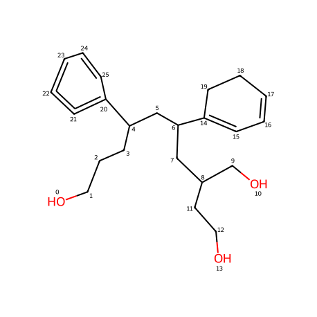 OCCCC(CC(CC(CO)CCO)C1=CC=CCC1)C1=C=C=CC=C1